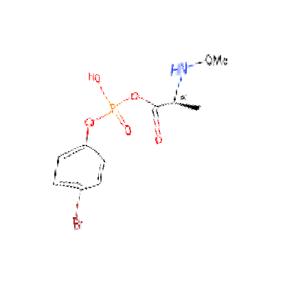 CON[C@@H](C)C(=O)OP(=O)(O)Oc1ccc(Br)cc1